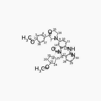 COc1ccc(C2CN(c3ccc4c(c3)N(C(=O)[C@H]3CC[C@H](OC)CC3)Cc3cccnc3N4)CCO2)cc1